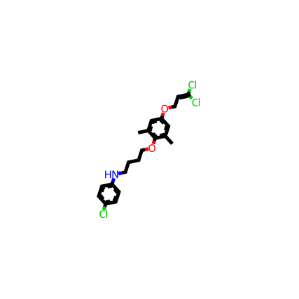 Cc1cc(OCC=C(Cl)Cl)cc(C)c1OCCCCNc1ccc(Cl)cc1